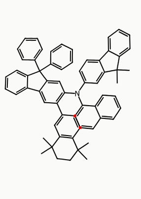 CC1(C)CCC(C)(C)c2cc(-c3cc4c(cc3N(c3ccc5c(c3)C(C)(C)c3ccccc3-5)c3cccc5ccccc35)C(c3ccccc3)(c3ccccc3)c3ccccc3-4)ccc21